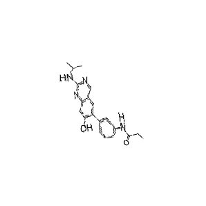 CCC(=O)Nc1cccc(-c2cc3cnc(NC(C)C)nc3cc2O)c1